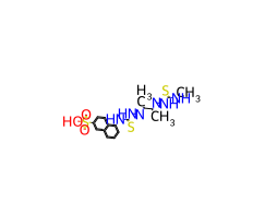 CNC(=S)N/N=C(C)/C(C)=N/NC(=S)Nc1cccc2cc(S(=O)(=O)O)ccc12